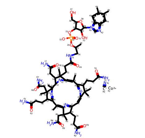 CC1=C2N=C(C=C3N=C(C(C)=C4[N-]C(C(CC(N)=O)C4(C)CCC(=O)NCC(C)OP(=O)([O-])OC4C(CO)OC(n5cnc6cc(C)c(C)cc65)C4O)C4(C)N=C1C(CCC(N)=O)C4(C)CC(N)=O)C(CCC(N)=O)C3(C)C)C(CCC(N)=O)C2(C)CC(N)=O.[C-]#N.[Co+3]